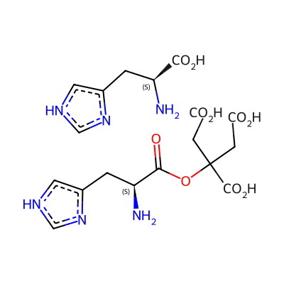 N[C@@H](Cc1c[nH]cn1)C(=O)O.N[C@@H](Cc1c[nH]cn1)C(=O)OC(CC(=O)O)(CC(=O)O)C(=O)O